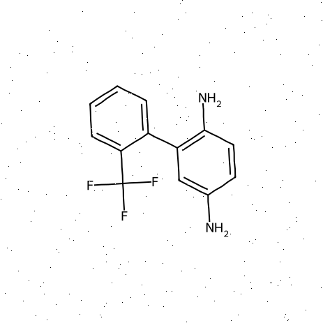 Nc1ccc(N)c(-c2ccccc2C(F)(F)F)c1